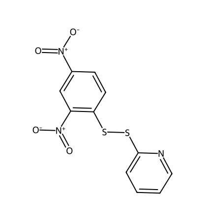 O=[N+]([O-])c1ccc(SSc2ccccn2)c([N+](=O)[O-])c1